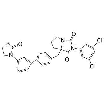 O=C1CCCN1c1cccc(-c2ccc(CC34CCCN3C(=O)N(c3cc(Cl)cc(Cl)c3)C4=O)cc2)c1